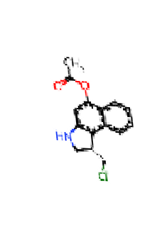 CC(=O)Oc1cc2c(c3ccccc13)[C@H](CCl)CN2